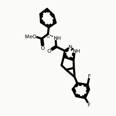 COC(=O)[C@@H](NC(=O)c1n[nH]c2c1CC1C(c3ccc(F)cc3F)C21)c1ccccc1